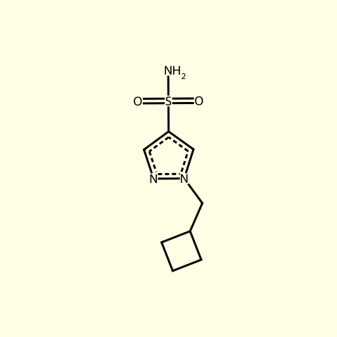 NS(=O)(=O)c1cnn(CC2CCC2)c1